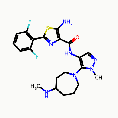 CNC1CCCN(c2c(NC(=O)c3nc(-c4c(F)cccc4F)sc3N)cnn2C)CC1